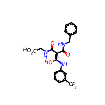 O=C(O)CNC(=O)/C(C(=O)NCc1ccccc1)=C(\O)Nc1cccc(C(F)(F)F)c1